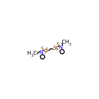 CCCN(C(=S)SSCCCSSC(=S)N(CCC)C1CCCCC1)C1CCCCC1